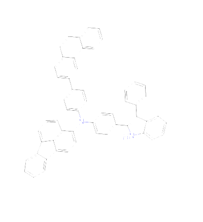 c1ccc(-c2c(-c3ccc(N(c4ccc(-c5ccc6ccc7ccccc7c6c5)cc4)c4ccc5c6c(cccc46)-c4ccccc4-5)cc3)[nH]c3ccccc23)cc1